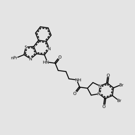 CCCc1nc2c(NC(=O)CCCNC(=O)C3Cn4c(=O)c(Br)c(Br)c(=O)n4C3)nc3ccccc3c2s1